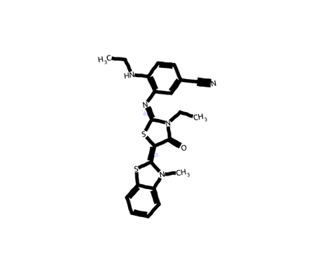 CCNc1ccc(C#N)cc1/N=C1/S/C(=C2\Sc3ccccc3N2C)C(=O)N1CC